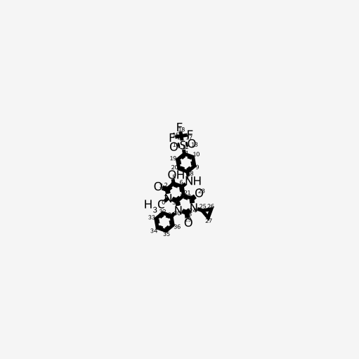 Cn1c(=O)c(O)c(Nc2ccc(S(=O)(=O)C(F)(F)F)cc2)c2c(=O)n(C3CC3)c(=O)n(-c3ccccc3)c21